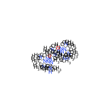 CN1C(C)(C)CC(Oc2nc(N(CCCCCCN(c3nc(OC4CC(C)(C)N(C)C(C)(C)C4)nc(N(C4CC(C)(C)N(C)C(C)(C)C4)C4CC(C)(C)N(C)C(C)(C)C4)n3)C3CC(C)(C)NC(C)(C)C3)C3CC(C)(C)NC(C)(C)C3)nc(N(C3CC(C)(C)N(C)C(C)(C)C3)C3CC(C)(C)N(C)C(C)(C)C3)n2)CC1(C)C